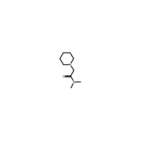 CN(C)C(=O)CN1CCCCC1